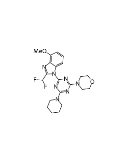 COc1cccc2c1nc(C(F)F)n2-c1nc(N2CCCCC2)nc(N2CCOCC2)n1